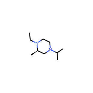 CCN1CCN(C(C)C)C[C@H]1C